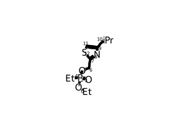 CCOP(=O)(CC)OCc1nc(C(C)C)cs1